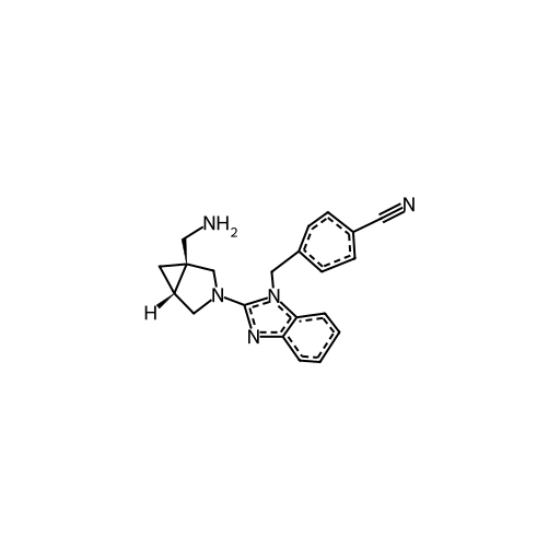 N#Cc1ccc(Cn2c(N3C[C@@H]4C[C@]4(CN)C3)nc3ccccc32)cc1